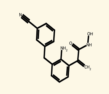 C=C(C(=O)NO)c1cccc(Cc2cccc(C#N)c2)c1N